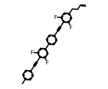 C=CCCc1cc(F)c(C#Cc2ccc(-c3cc(F)c(C#Cc4ccc(C)cc4)c(F)c3)cc2)c(F)c1